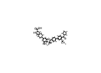 COc1cc(-c2ccc(C(Oc3cc(N4CCC5(CC4)CN[C@H](C(=O)O)C5)nc(N)n3)C(F)(F)F)cc2)ccc1C(=O)N1CCCC1